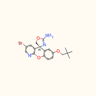 CC(C)(C)COc1ccc2c(c1)[C@]1(COC(N)=N1)c1cc(Br)cnc1O2